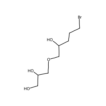 OCC(O)COCC(O)CCCBr